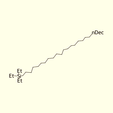 [CH2]CCCCCCCCCCCCCCCCCCCCCCCCCCCC[Si](CC)(CC)CC